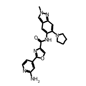 Cn1cc2cc(NC(=O)c3coc(-c4ccnc(N)c4)n3)c(N3CCCC3)cc2n1